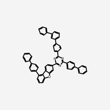 c1ccc(-c2ccc(-c3nc(-c4ccc(-c5cccc(-c6ccccc6)c5)cc4)nc(-c4ccc5c(c4)oc4cccc(-c6ccc(-c7ccccc7)cc6)c45)n3)cc2)cc1